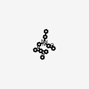 c1ccc(-c2ccc(-c3nc(-c4cccc(-n5c6ccccc6c6cc7c(cc65)c5ccccc5n7-c5ccccc5)c4)nc(-c4ccc5c(c4)oc4ccccc45)n3)cc2)cc1